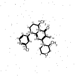 CC1COCCN1c1nc2n(c(=O)c1F)C(C(F)(F)F)CCN2c1ccnc(Cl)c1